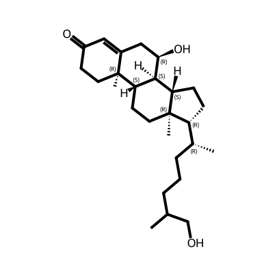 CC(CO)CCC[C@@H](C)[C@H]1CC[C@H]2[C@@H]3[C@H](O)CC4=CC(=O)CC[C@]4(C)[C@H]3CC[C@]12C